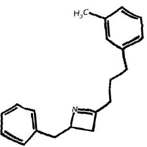 Cc1cccc(CCCC2=NC(Cc3ccccc3)C2)c1